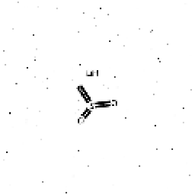 C=S(=O)=O.[LiH]